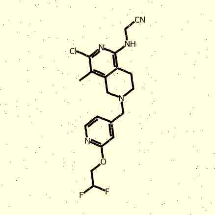 Cc1c(Cl)nc(NCC#N)c2c1CN(Cc1ccnc(OCC(F)F)c1)CC2